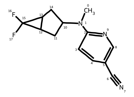 CN(c1ccc(C#N)cn1)C1CC2C(C1)C2(F)F